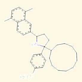 Cc1ccc(C)c2cc(C3CCC(c4ccc(C(=O)O)cc4)(C4CCCCCCCCCC4)N3)ccc12